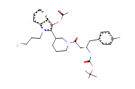 COCCCn1c(C2CCCN(C(=O)C[C@@H](Cc3ccc(Br)cc3)NC(=O)OC(C)(C)C)C2)c(OC(C)=O)c2ccccc21